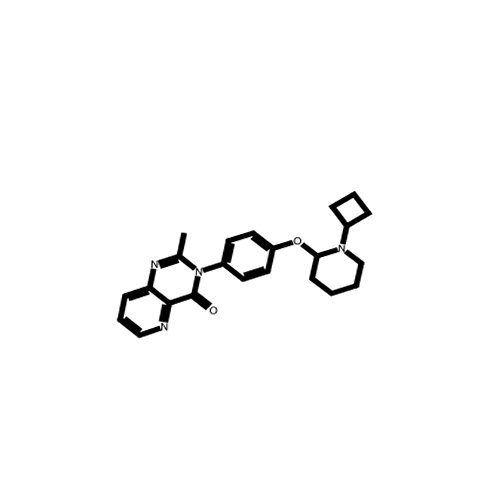 Cc1nc2cccnc2c(=O)n1-c1ccc(OC2CCCCN2C2CCC2)cc1